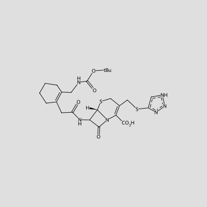 CC(C)(C)OC(=O)NCC1=C(CC(=O)NC2C(=O)N3C(C(=O)O)=C(CSc4c[nH]nn4)CS[C@@H]23)CCCC1